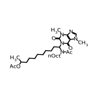 CCCCCCCCN(C(C)=O)C(CCCCCCCCC(C)OC(C)=O)n1c(=O)c2c(ncn2C)n(C)c1=O